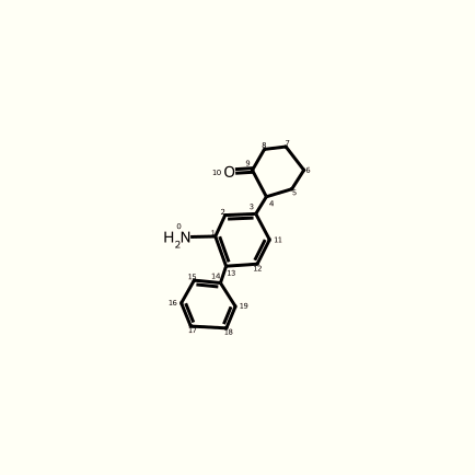 Nc1cc(C2CCCCC2=O)ccc1-c1ccccc1